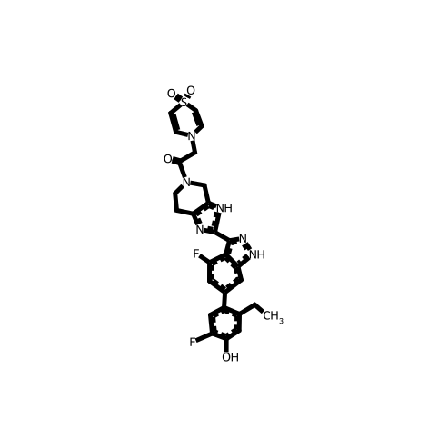 CCc1cc(O)c(F)cc1-c1cc(F)c2c(-c3nc4c([nH]3)CN(C(=O)CN3C=CS(=O)(=O)C=C3)CC4)n[nH]c2c1